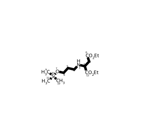 CCOC(=O)CC(NCCCO[Si](C)(C)C)C(=O)OCC